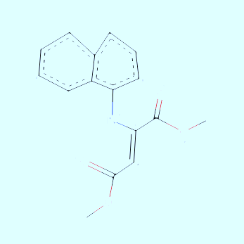 COC(=O)/C=C(\Nc1cccc2ccccc12)C(=O)OC